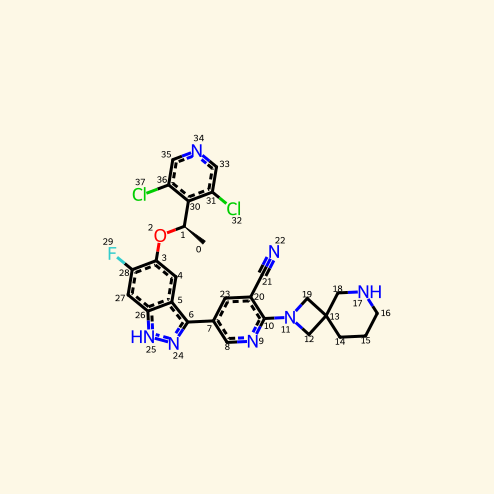 C[C@@H](Oc1cc2c(-c3cnc(N4CC5(CCCNC5)C4)c(C#N)c3)n[nH]c2cc1F)c1c(Cl)cncc1Cl